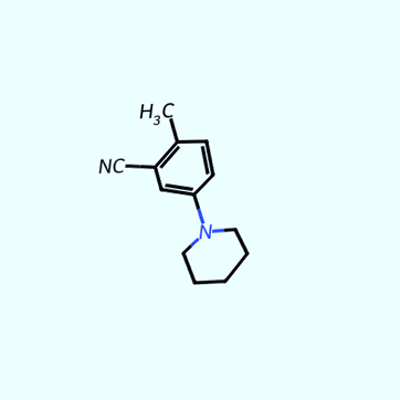 Cc1ccc(N2CCCCC2)cc1C#N